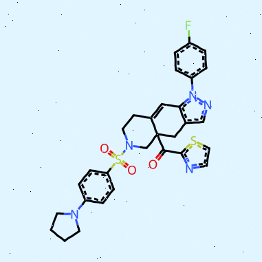 O=C(c1nccs1)C12Cc3cnn(-c4ccc(F)cc4)c3C=C1CCN(S(=O)(=O)c1ccc(N3CCCC3)cc1)C2